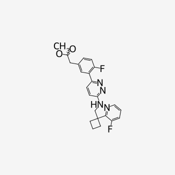 COC(=O)Cc1ccc(F)c(-c2ccc(NCC3(c4ncccc4F)CCC3)nn2)c1